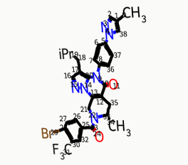 Cc1cnn(-c2ccc(-n3c(=O)c4c(n5ncc(CC(C)C)c35)CN(C(=O)c3ccc(Br)c(C(F)(F)F)c3)[C@H](C)C4)cc2)c1